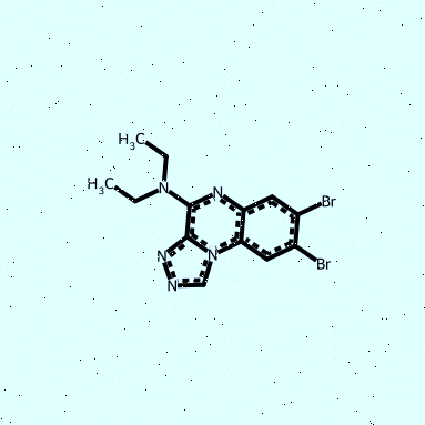 CCN(CC)c1nc2cc(Br)c(Br)cc2n2cnnc12